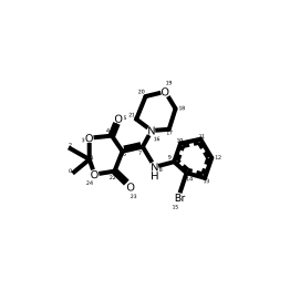 CC1(C)OC(=O)C(=C(Nc2ccccc2Br)N2CCOCC2)C(=O)O1